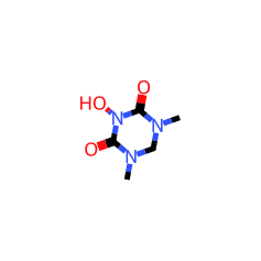 CN1CN(C)C(=O)N(O)C1=O